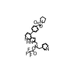 O=C(ON(Cc1cccnc1)Cc1cc2c(-c3ccc(S(=O)(=O)N4CCCC4)cc3)ccnc2[nH]1)C(F)(F)F